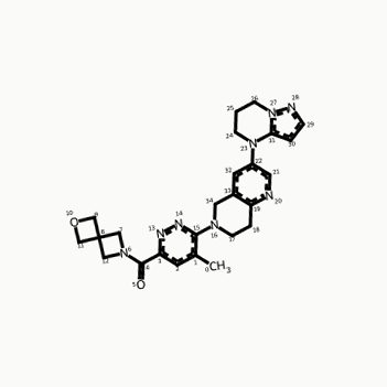 Cc1cc(C(=O)N2CC3(COC3)C2)nnc1N1CCc2ncc(N3CCCn4nccc43)cc2C1